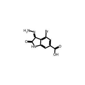 N/N=C1\C(=O)Nc2cc(C(=O)O)cc(Br)c21